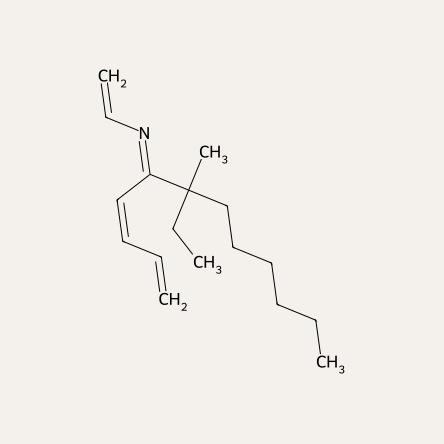 C=C/C=C\C(=N/C=C)C(C)(CC)CCCCCC